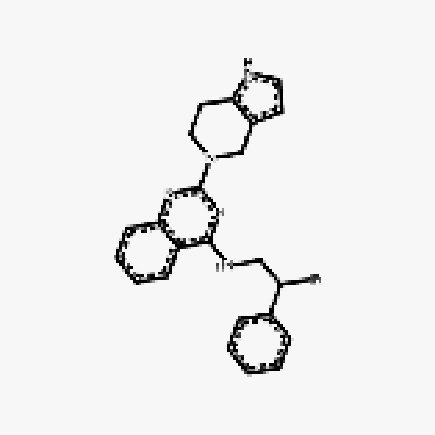 CC(C)C(CNc1nc(N2CCc3[nH]ccc3C2)nc2ccccc12)c1ccccc1